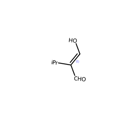 CC(C)/C(C=O)=C\O